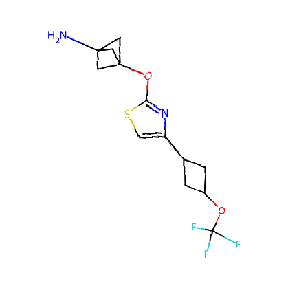 NC12CC(Oc3nc(C4CC(OC(F)(F)F)C4)cs3)(C1)C2